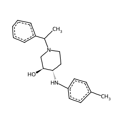 Cc1ccc(N[C@H]2CCN(C(C)c3ccccc3)C[C@@H]2O)cc1